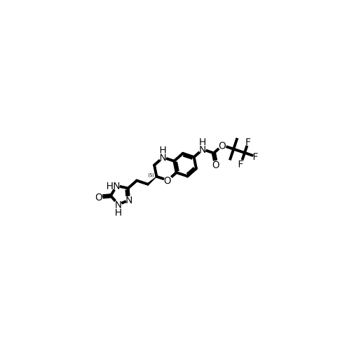 CC(C)(OC(=O)Nc1ccc2c(c1)NC[C@H](CCc1n[nH]c(=O)[nH]1)O2)C(F)(F)F